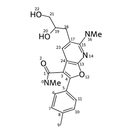 CNC(=O)c1c(-c2ccc(C)cc2)oc2nc(NC)c(CC(O)CO)cc12